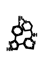 CCN1CCC(Nc2cc(-c3c[nH]nc3-c3ccc(F)cc3)ccn2)CC1